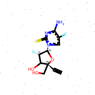 C#C[C@]1(CO)O[C@@H](n2cc(F)c(N)nc2=S)[C@@H](F)C1O